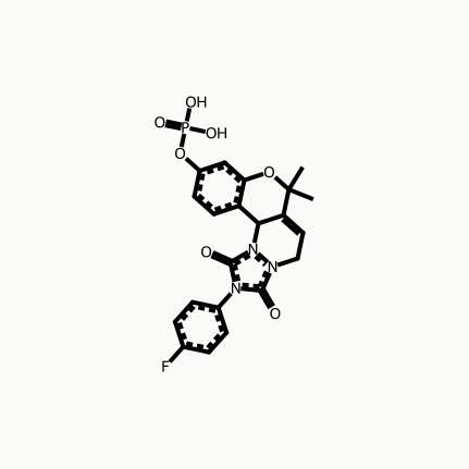 CC1(C)Oc2cc(OP(=O)(O)O)ccc2C2C1=CCn1c(=O)n(-c3ccc(F)cc3)c(=O)n12